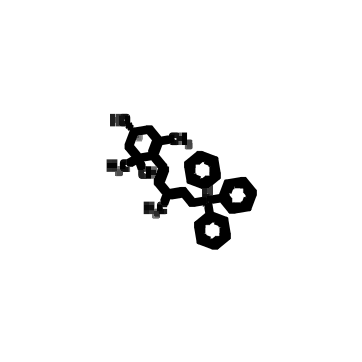 CC(C=CC1=C(C)C[C@@H](O)CC1(C)C)=CC[PH](c1ccccc1)(c1ccccc1)c1ccccc1